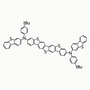 CC(C)(C)c1ccc(N(c2ccc3c(c2)sc2ccccc23)c2ccc3c(c2)sc2cc4c(cc23)sc2cc3c(cc24)sc2cc(N(c4ccc(C(C)(C)C)cc4)c4ccc5c(c4)sc4ccccc45)ccc23)cc1